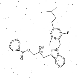 CC(C)CCc1cc(F)c(Cn2cc(C[C@H](O)COC(=O)c3ccccc3)c3ccccc32)c(F)c1